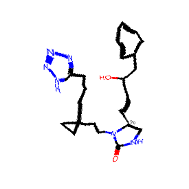 O=C1NC[C@H](C=CC(O)Cc2ccccc2)N1CCC1(CCCc2nnn[nH]2)CC1